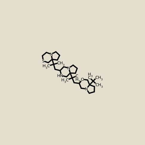 CC(C)(C)C12CCCN1CC(CC(C)(C)C13CCCN1CC(CC(C)(C)C14CCCN1CCSC4)NC3)OC2